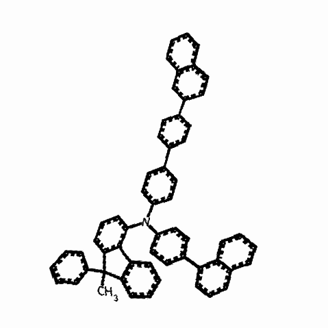 CC1(c2ccccc2)c2ccccc2-c2c(N(c3ccc(-c4ccc(-c5ccc6ccccc6c5)cc4)cc3)c3ccc(-c4cccc5ccccc45)cc3)cccc21